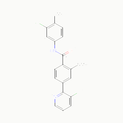 CNc1cc(-c2ncccc2Cl)ccc1C(=O)Nc1ccc(OC)c(Cl)c1